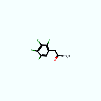 O=C(O)C(=O)Cc1cc(F)c(F)c(F)c1F